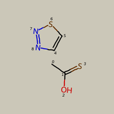 CC(O)=S.c1csnn1